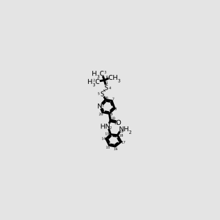 CC(C)(C)SSc1ccc(C(=O)Nc2ccccc2N)cn1